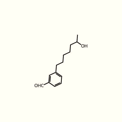 CC(O)CCCCCc1cccc(C=O)c1